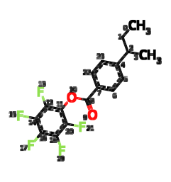 CCC(C)c1ccc(C(=O)Oc2c(F)c(F)c(F)c(F)c2F)cc1